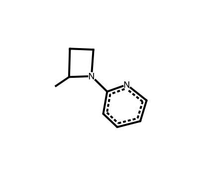 CC1CCN1c1ccccn1